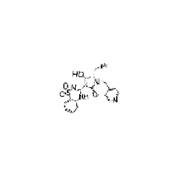 CC(C)C[C@H]1C(O)=C(C2=NS(=O)(=O)c3ccccc3N2)C(=O)N1Cc1ccncc1